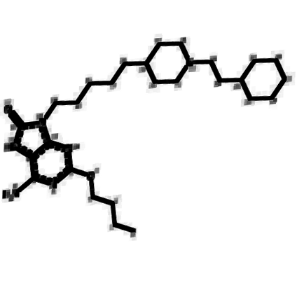 CCCCOc1nc(N)c2[nH]c(=O)n(CCCCCC3CCN(CCC4CCCCC4)CC3)c2n1